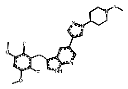 COc1cc(OC)c(F)c(Cc2c[nH]c3ncc(-c4cnn(C5CCN(SC)CC5)c4)cc23)c1F